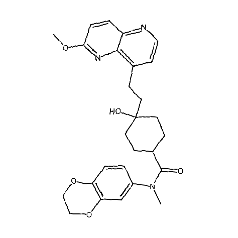 COc1ccc2nccc(CCC3(O)CCC(C(=O)N(C)c4ccc5c(c4)OCCO5)CC3)c2n1